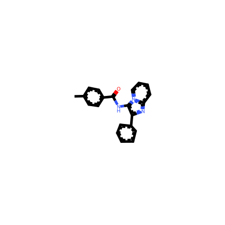 Cc1ccc(C(=O)Nc2c(-c3ccccc3)nc3ccccn23)cc1